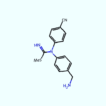 CSC(=N)N(c1ccc(C#N)cc1)c1ccc(CN)cc1